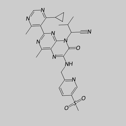 Cc1ncnc(C2CC2)c1-c1nc(C)c2nc(NCc3ccc(S(C)(=O)=O)cn3)c(=O)n(C(C#N)C(C)C)c2n1